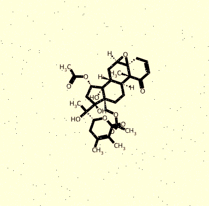 CC(=O)OC[C@]12CC[C@H]3[C@@H](C[C@H]4O[C@]45CC=CC(=O)[C@]35C)[C@]1(O)[C@@H](OC(C)=O)C[C@@]2(O)C(C)(O)[C@H]1CC(C)=C(C)C(=O)O1